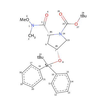 CON(C)C(=O)[C@H]1C[C@@H](O[Si](c2ccccc2)(c2ccccc2)C(C)(C)C)CN1C(=O)OC(C)(C)C